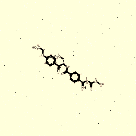 COC[C@H](NC(=O)c1ccc(C(=N)NC(=O)OC(C)(C)C)cc1)C(=O)c1ccc(OCC(=O)O)cc1